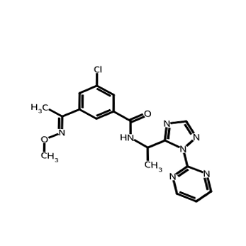 CON=C(C)c1cc(Cl)cc(C(=O)NC(C)c2ncnn2-c2ncccn2)c1